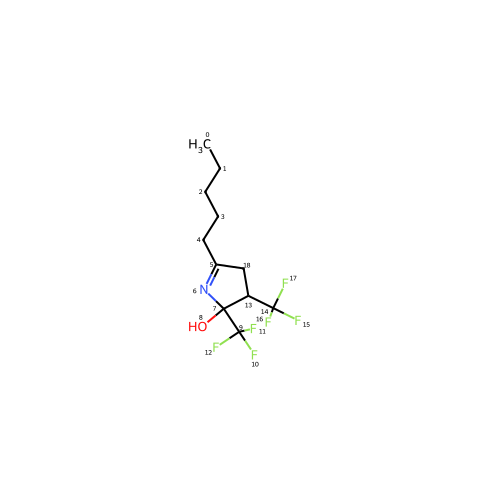 CCCCCC1=NC(O)(C(F)(F)F)C(C(F)(F)F)C1